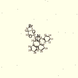 CC1(CBr)COC(c2nc(-c3ccccc3)c(-c3ccccc3)n2Cc2ccccc2)OC1